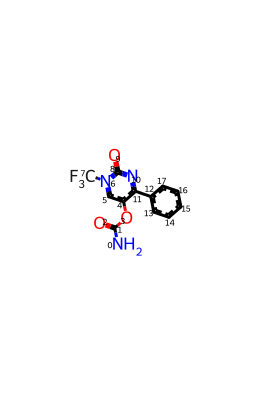 NC(=O)Oc1cn(C(F)(F)F)c(=O)nc1-c1ccccc1